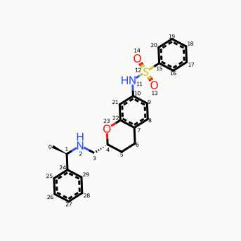 C[C@@H](NC[C@H]1CCc2ccc(NS(=O)(=O)c3ccccc3)cc2O1)c1ccccc1